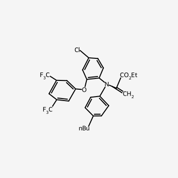 C=C(C(=O)OCC)N(c1ccc(CCCC)cc1)c1ccc(Cl)cc1Oc1cc(C(F)(F)F)cc(C(F)(F)F)c1